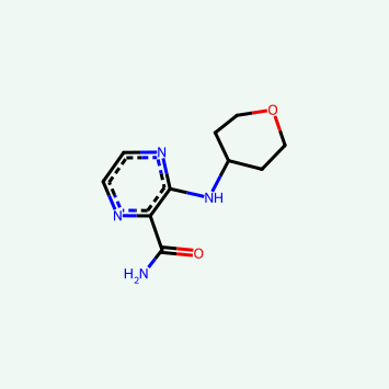 NC(=O)c1nccnc1NC1CCOCC1